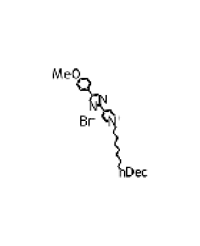 CCCCCCCCCCCCCCCCCC[n+]1ccc(-c2ncc(-c3ccc(OC)cc3)cn2)cc1.[Br-]